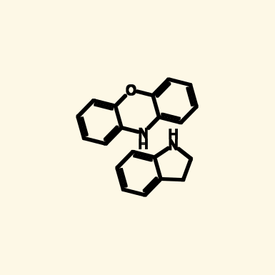 c1ccc2c(c1)CCN2.c1ccc2c(c1)Nc1ccccc1O2